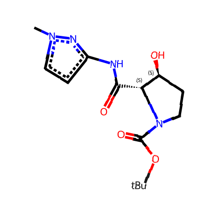 Cn1ccc(NC(=O)[C@@H]2[C@@H](O)CCN2C(=O)OC(C)(C)C)n1